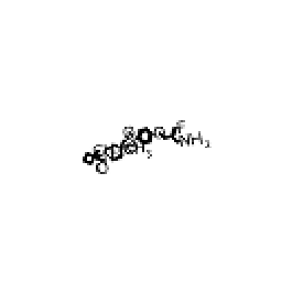 CC1(CS(=O)(=O)c2ccc(OCC(=CF)CN)cc2)CCN(C(=O)C2(C)CCC2)CC1